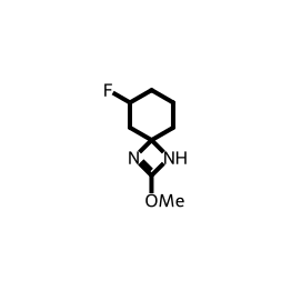 COC1=NC2(CCCC(F)C2)N1